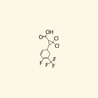 O=C(O)C1C(C2C=CC(F)=C(C(F)(F)F)C2)C1(Cl)Cl